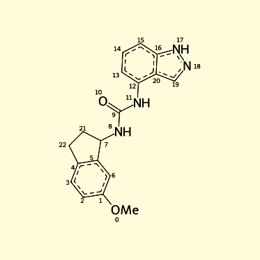 COc1ccc2c(c1)C(NC(=O)Nc1cccc3[nH]ncc13)CC2